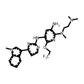 CN(C)CCN(C)c1nc(OCC(F)(F)F)c(Nc2nccc(-c3cn(C)c4ccccc34)n2)cc1N